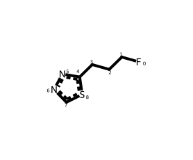 FCCCc1nncs1